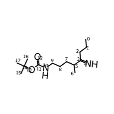 CCCC(=N)C(C)CCCNC(=O)OC(C)(C)C